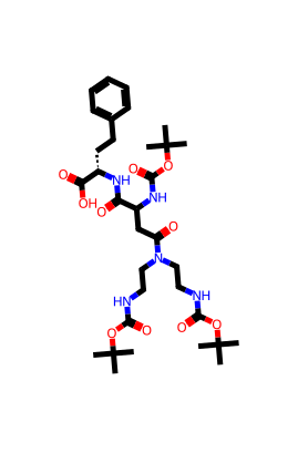 CC(C)(C)OC(=O)NCCN(CCNC(=O)OC(C)(C)C)C(=O)CC(NC(=O)OC(C)(C)C)C(=O)N[C@@H](CCc1ccccc1)C(=O)O